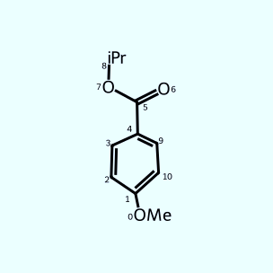 COc1ccc(C(=O)OC(C)C)cc1